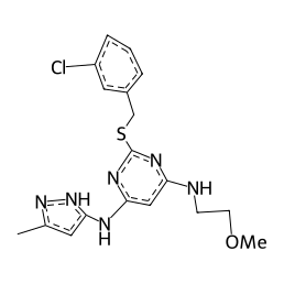 COCCNc1cc(Nc2cc(C)n[nH]2)nc(SCc2cccc(Cl)c2)n1